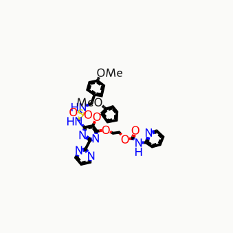 COc1ccc(CNS(=O)(=O)Nc2nc(-c3ncccn3)nc(OCCOC(=O)Nc3ccccn3)c2Oc2ccccc2OC)cc1